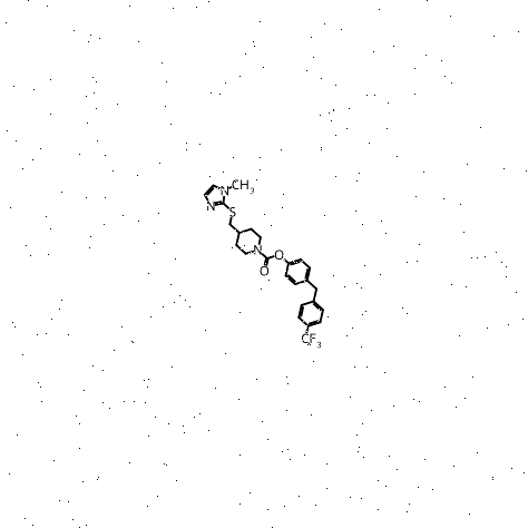 Cn1ccnc1SCC1CCN(C(=O)Oc2ccc(Cc3ccc(C(F)(F)F)cc3)cc2)CC1